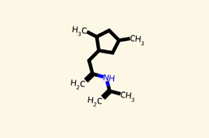 C=C(C)NC(=C)CC1CC(C)CC1C